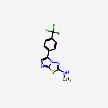 CNc1nn2c(-c3ccc(C(F)(F)F)cc3)cnc2s1